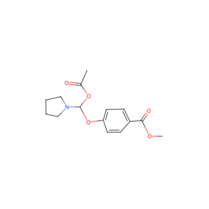 COC(=O)c1ccc(OC(OC(C)=O)N2CCCC2)cc1